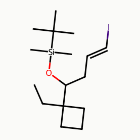 CCC1(C(CC=CI)O[Si](C)(C)C(C)(C)C)CCC1